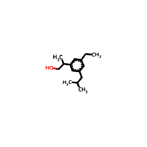 CCc1cc(CC(C)C)cc([C](C)CO)c1